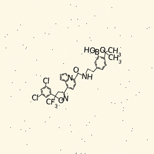 CC1(C)OB(O)c2cc(CCNC(=O)c3ccc(C4=NOC(c5cc(Cl)cc(Cl)c5)(C(F)(F)F)C4)c4cccn34)ccc21